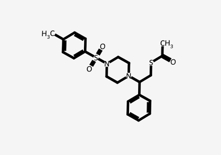 CC(=O)SCC(c1ccccc1)N1CCN(S(=O)(=O)c2ccc(C)cc2)CC1